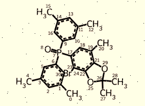 Cc1cc(C)cc(P(=O)(c2cc(C)cc(C)c2)c2cc(C)c3c(c2Br)OC(C)(C)O3)c1